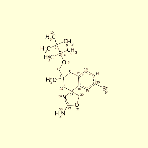 CC1(CO[Si](C)(C)C(C)(C)C)Cc2ccc(Br)cc2C2(COC(N)=N2)C1